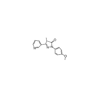 COc1ccc(N2N=C(c3cccnc3)C(C)C2=O)cc1